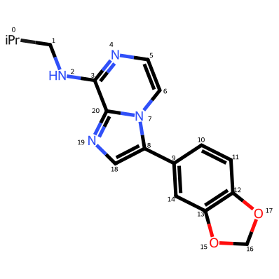 CC(C)CNc1nccn2c(-c3ccc4c(c3)OCO4)cnc12